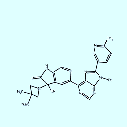 CCn1c(-c2cnc(C)nc2)nc2c(-c3ccc4c(c3)C(C#N)(N3CC(C)(OC)C3)C(=O)N4)ncnc21